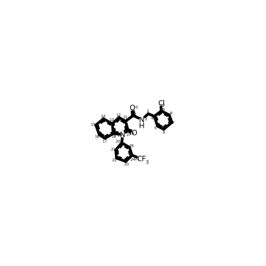 O=C(NCc1ccccc1Cl)c1cc2ccccc2n(-c2cccc(C(F)(F)F)c2)c1=O